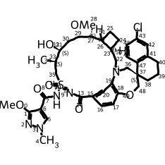 COc1nn(C)cc1C(=O)N[S@@]1(=O)=NC(=O)c2ccc3c(c2)N(C[C@@H]2CC[C@H]2[C@@H](OC)CC[C@H](O)[C@H](C)C1)C[C@@]1(CCCc2cc(Cl)ccc21)CO3